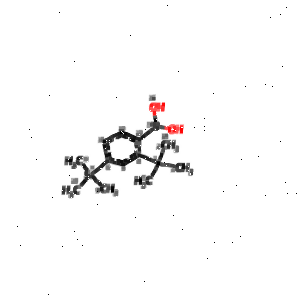 CC(C)(C)c1cc([Si](C)(C)C)ccc1B(O)O